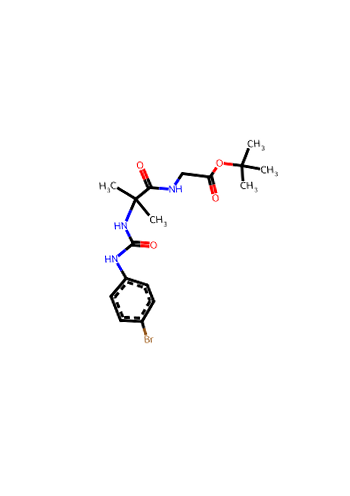 CC(C)(C)OC(=O)CNC(=O)C(C)(C)NC(=O)Nc1ccc(Br)cc1